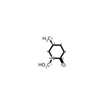 C[C@H]1CCC(=O)N(C(=O)O)C1